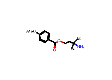 CCC(N)(CC)CCOC(=O)c1ccc(OC)cc1